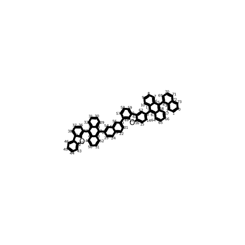 c1ccc2c(-c3c4ccccc4c(-c4ccc5oc6c(-c7ccc8ccc(-c9c%10ccccc%10c(-c%10cccc%11c%10oc%10ccccc%10%11)c%10ccccc9%10)cc8c7)cccc6c5c4)c4ccccc34)cccc2c1